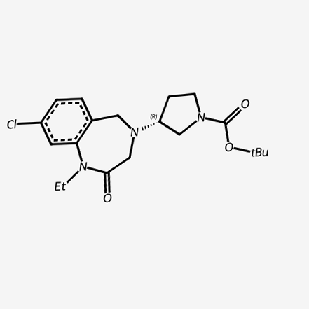 CCN1C(=O)CN([C@@H]2CCN(C(=O)OC(C)(C)C)C2)Cc2ccc(Cl)cc21